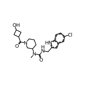 CN(C(=O)NCc1cc2cc(Cl)ccc2[nH]1)C1CCCN(C(=O)C2CC(O)C2)C1